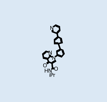 CC(C)NC(=O)c1cn(-c2cccc(-c3ccc(-c4cccnc4)cc3)c2)c2ncccc2c1=O